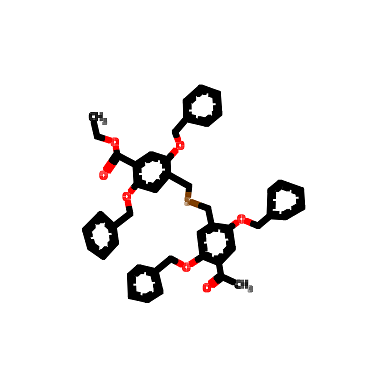 CCOC(=O)c1cc(OCc2ccccc2)c(CSCc2cc(OCc3ccccc3)c(C(C)=O)cc2OCc2ccccc2)cc1OCc1ccccc1